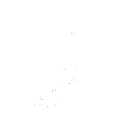 O=C(Oc1ccc([N+](=O)[O-])cc1)O[C@H]1CC(=O)N(C2CCCCN2C(=O)O)C1